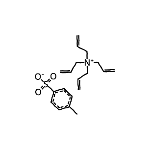 C=CC[N+](CC=C)(CC=C)CC=C.Cc1ccc(S(=O)(=O)[O-])cc1